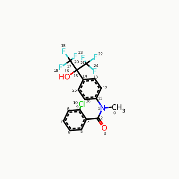 CN(C(=O)c1ccccc1Cl)c1ccc(C(O)(C(F)(F)F)C(F)(F)F)cc1